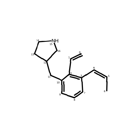 C=Cc1c(/C=C\C)cccc1CC1CCNC1